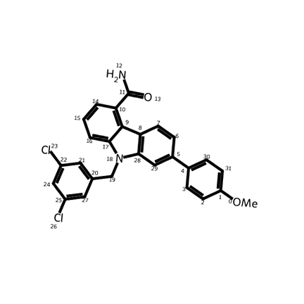 COc1ccc(-c2c[c]c3c4c(C(N)=O)cccc4n(Cc4cc(Cl)cc(Cl)c4)c3c2)cc1